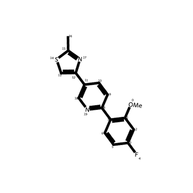 COc1cc(F)ccc1-c1ccc(-c2csc(C)n2)cn1